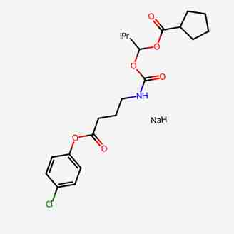 CC(C)C(OC(=O)NCCCC(=O)Oc1ccc(Cl)cc1)OC(=O)C1CCCC1.[NaH]